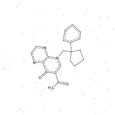 CC(=O)c1cn(CC2(c3ccccc3)CCCC2)c2nccnc2c1=O